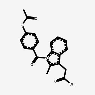 CC(=O)Oc1ccc(C(=O)n2c(C)c(CC(=O)O)c3ccccc32)cc1